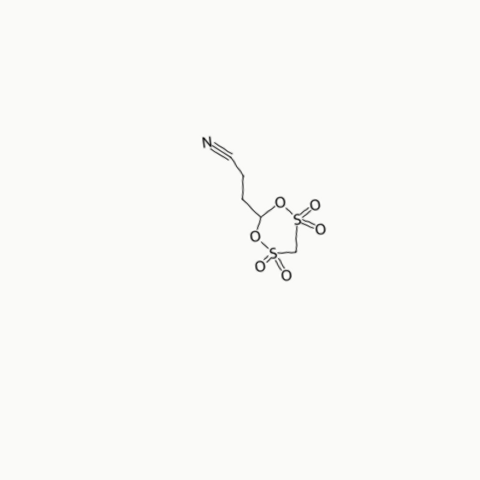 N#CCCC1OS(=O)(=O)CS(=O)(=O)O1